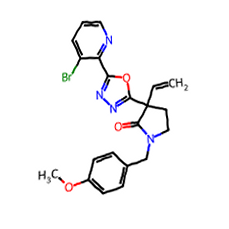 C=CC1(c2nnc(-c3ncccc3Br)o2)CCN(Cc2ccc(OC)cc2)C1=O